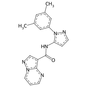 Cc1cc(C)cc(-n2nccc2NC(=O)c2cnn3cccnc23)c1